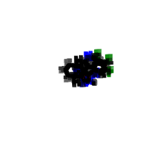 Cn1nc2c(c1-c1cc(F)c(F)c(F)c1)C[C@@H]1CCC[C@H]2N1C(=O)c1cncc2cccnc12